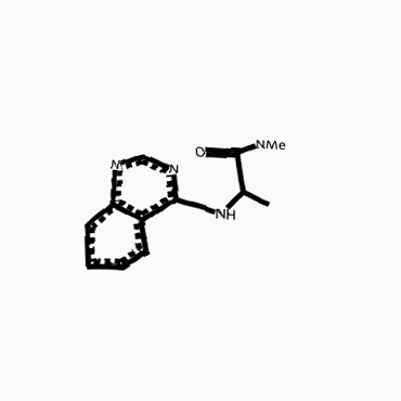 CNC(=O)C(C)Nc1ncnc2ccccc12